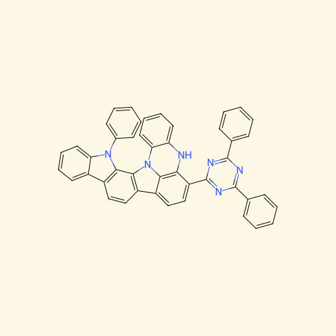 c1ccc(-c2nc(-c3ccccc3)nc(-c3ccc4c5ccc6c7ccccc7n(-c7ccccc7)c6c5n5c4c3Nc3ccccc3-5)n2)cc1